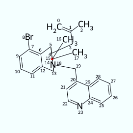 C=C(C)CC1C2c3c(Br)cccc3C(CC2(C)C)N1Cc1ccnc2ccccc12